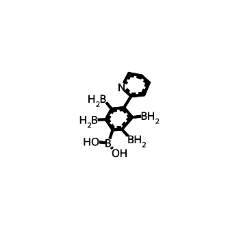 Bc1c(B)c(-c2ccccn2)c(B)c(B)c1B(O)O